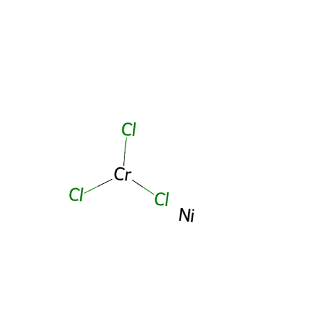 [Cl][Cr]([Cl])[Cl].[Ni]